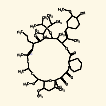 CCCC1/C=C(\C)CC(C)CC(OC)C2OC(O)(C(=O)C(=O)N3CCCCC3C(=O)OC(C(C)=CC3CCC(O)C(OC)C3)C(C)C(O[Si](C(C)C)(C(C)C)C(C)C)CC1=O)C(C)CC2OC